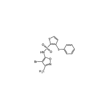 Cc1noc(NS(=O)(=O)c2sccc2Sc2ccccc2)c1Br